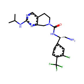 CC(C)Nc1ncc2c(n1)CN(C(=O)N[C@H](CN)c1ccc(C(F)(F)F)c(F)c1)CC2